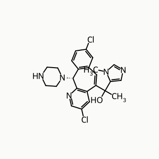 Cn1cncc1C(C)(O)C1=Cc2cc(Cl)ccc2[C@@H](N2CCNCC2)c2ncc(Cl)cc21